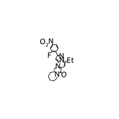 CCc1cc(C(=O)N2CCCCC[C@H]2C)nc2cc(-c3ccc([N+](=O)[O-])cc3F)nn12